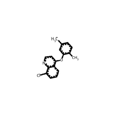 Cc1ccc(C)c(Oc2ccnc3c(Cl)cccc23)c1